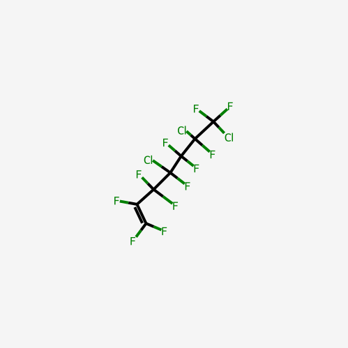 FC(F)=C(F)C(F)(F)C(F)(Cl)C(F)(F)C(F)(Cl)C(F)(F)Cl